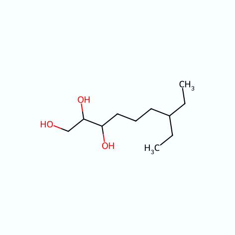 CCC(CC)CCCC(O)C(O)CO